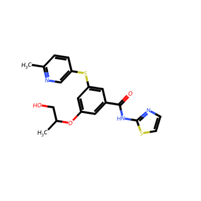 Cc1ccc(Sc2cc(OC(C)CO)cc(C(=O)Nc3nccs3)c2)cn1